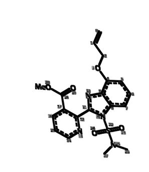 C=CCOc1cccc2c1nc(-c1ncccc1C(=O)OC)n2S(=O)(=O)N(C)C